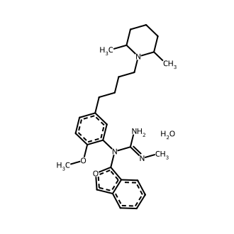 CN=C(N)N(c1cc(CCCCN2C(C)CCCC2C)ccc1OC)c1occ2ccccc12.O